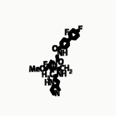 C=C(N[C@H](C)c1cc2cnccc2[nH]1)[C@@H]1C[C@](F)(COC)CN1C(=O)CNC(=O)c1ccc(-c2ccc(F)cc2F)cc1